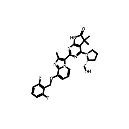 Cc1nc2c(OCc3c(F)cccc3F)cccn2c1-c1nc2c(c(N3CCC[C@@H]3CO)n1)C(C)(C)C(=O)N2